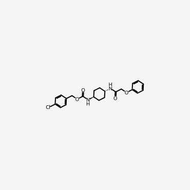 O=C(COc1ccccc1)N[C@H]1CC[C@H](NC(=O)OCc2ccc(Cl)cc2)CC1